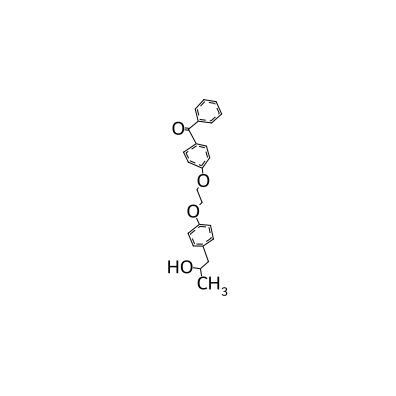 CC(O)Cc1ccc(OCCOc2ccc(C(=O)c3ccccc3)cc2)cc1